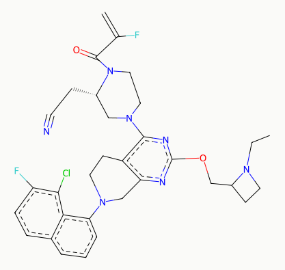 C=C(F)C(=O)N1CCN(c2nc(OCC3CCN3CC)nc3c2CCN(c2cccc4ccc(F)c(Cl)c24)C3)C[C@@H]1CC#N